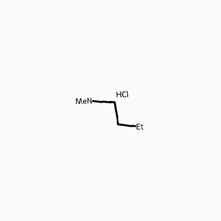 CCCCNC.Cl